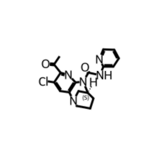 CC(=O)c1nc2c(cc1Cl)N1CCC[C@@H](C1)N2C(=O)Nc1ccccn1